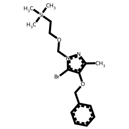 Cc1nn(COCC[Si](C)(C)C)c(Br)c1OCc1ccccc1